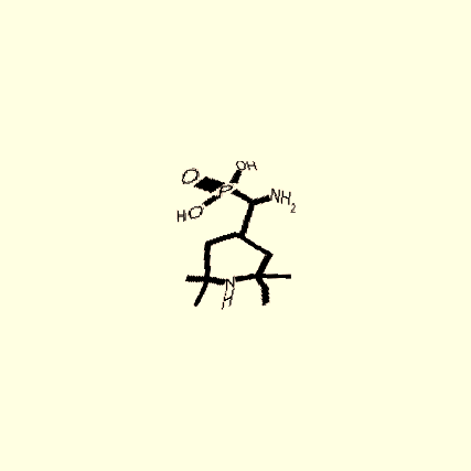 CC1(C)CC(C(N)P(=O)(O)O)CC(C)(C)N1